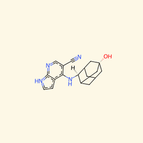 N#Cc1cnc2[nH]ccc2c1N[C@H]1C2CC3CC1C[C@](O)(C3)C2